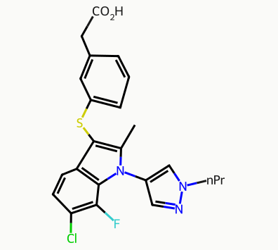 CCCn1cc(-n2c(C)c(Sc3cccc(CC(=O)O)c3)c3ccc(Cl)c(F)c32)cn1